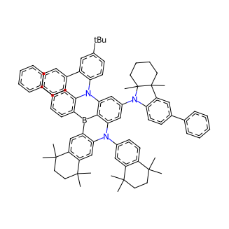 CC(C)(C)c1ccc(N2c3cc(-c4ccccc4)ccc3B3c4cc5c(cc4N(c4ccc6c(c4)C(C)(C)CCC6(C)C)c4cc(N6c7ccc(-c8ccccc8)cc7C7(C)CCCCC67C)cc2c43)C(C)(C)CCC5(C)C)c(-c2ccccc2)c1